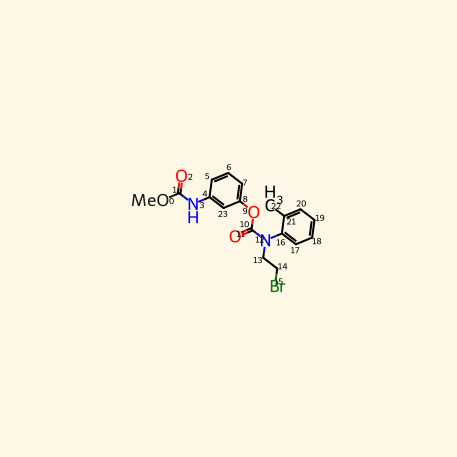 COC(=O)Nc1cccc(OC(=O)N(CCBr)c2ccccc2C)c1